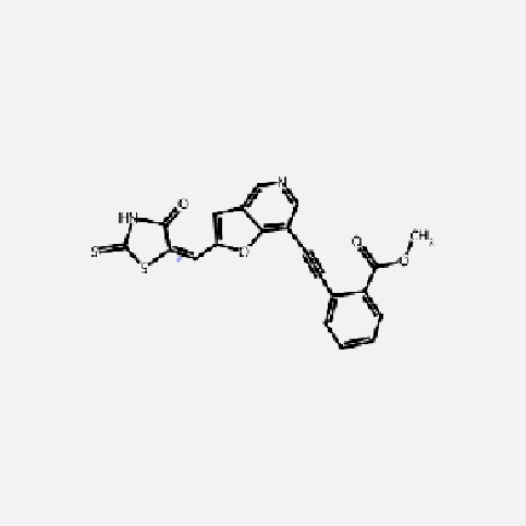 COC(=O)c1ccccc1C#Cc1cncc2cc(/C=C3/SC(=S)NC3=O)oc12